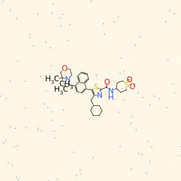 CC(c1ccc(-c2sc(C(=O)NC3CCS(=O)(=O)CC3)nc2CC2CCCCC2)c2ccccc12)N1CCOCC1(C)C